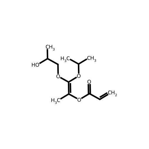 C=CC(=O)OC(C)=C(OCC(C)O)OC(C)C